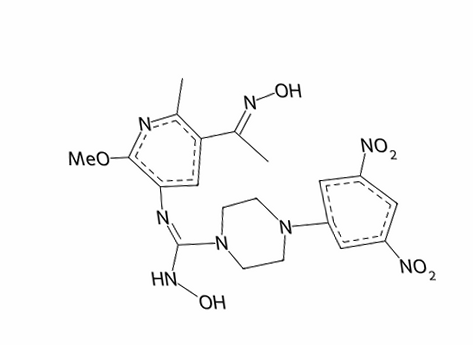 COc1nc(C)c(C(C)=NO)cc1N=C(NO)N1CCN(c2cc([N+](=O)[O-])cc([N+](=O)[O-])c2)CC1